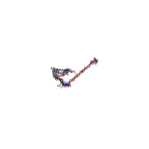 C/C=C1\CN2C(=O)c3cc(OC)c(OCCCOc4cc(/N=C\C5Cc6ccc(N(C)C(=O)OCc7ccc(NC(=O)[C@H](C)NC(=O)[C@@H](NC(=O)CCOCCOCCOCCOCCOCCOCCOCCOCCCNC(=O)CCN8C(=O)C=CC8=O)C(C)C)cc7)cc6CN5)c(C(C)=O)cc4OC)cc3N=C[C@]2(C)C1